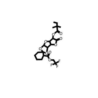 CCC(C)(C)C(=O)OC1C(=O)OC2C3OC4(CCCCC4C(=O)OCC(F)(F)F)OC3OC12